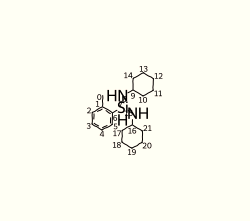 Cc1ccccc1[SiH](NC1CCCCC1)NC1CCCCC1